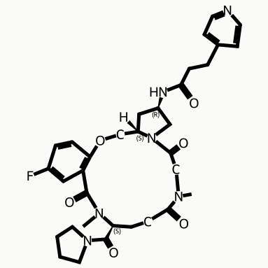 CN1CC(=O)N2C[C@H](NC(=O)CCc3ccncc3)C[C@H]2COc2ccc(F)cc2C(=O)N(C)[C@H](C(=O)N2CCCC2)CCC1=O